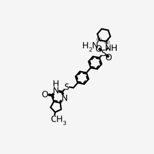 CC1Cc2nc(SCc3ccc(-c4ccc(S(=O)(=O)N[C@@H]5CCCC[C@H]5N)cc4)cc3)[nH]c(=O)c2C1